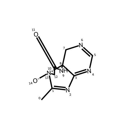 CC1=NC2=NC=NCC23NC(=O)C[N+]13[O-]